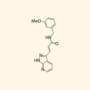 COc1cccc(CNC(=O)C=Cc2n[nH]c3ncccc23)c1